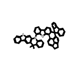 CC1(C)c2ccccc2N(c2cccc3c2oc2c4c(ccc23)C2(c3ccccc3-c3ccccc32)c2ccc3c5c(ccc-4c25)CC3)c2cc3sc4ccccc4c3cc21